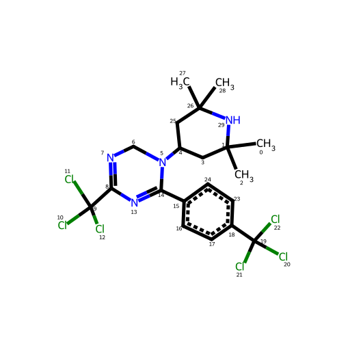 CC1(C)CC(N2CN=C(C(Cl)(Cl)Cl)N=C2c2ccc(C(Cl)(Cl)Cl)cc2)CC(C)(C)N1